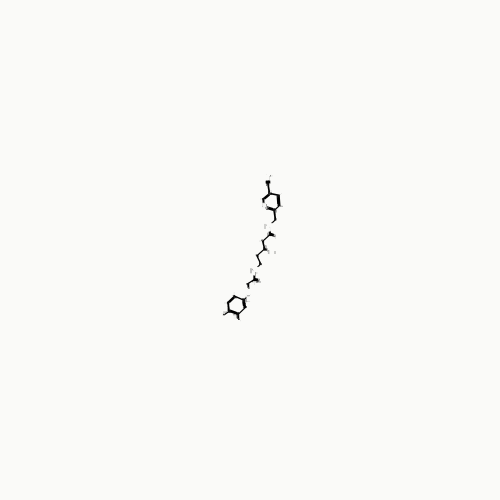 N#Cc1ccc(CNC(=O)CC(O)CCNC(=O)COc2ccc(Cl)c(F)c2)nc1